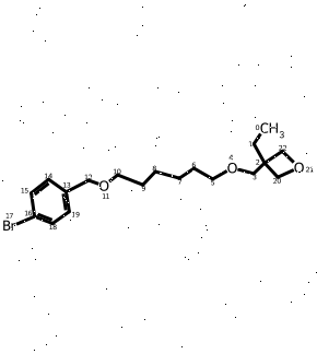 CCC1(COCCCCCCOCc2ccc(Br)cc2)COC1